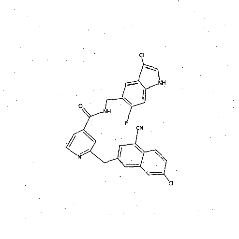 N#Cc1cc(Cc2cc(C(=O)NCc3cc4c(Cl)c[nH]c4cc3F)ccn2)cc2cc(Cl)ccc12